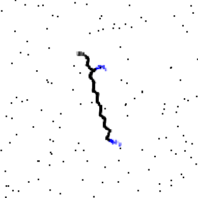 CC(C)(C)CCC(N)CCCCCCCCCCCN